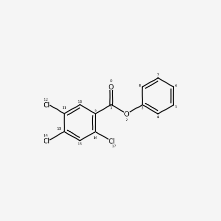 O=C(Oc1ccccc1)c1cc(Cl)c(Cl)cc1Cl